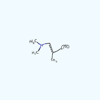 C/C(C=O)=C\N(C)C